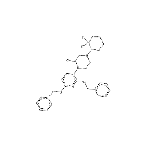 O=C1CN(C2CCCCC2(F)F)CCN1c1ccc(OCc2ccccc2)nc1OCc1ccccc1